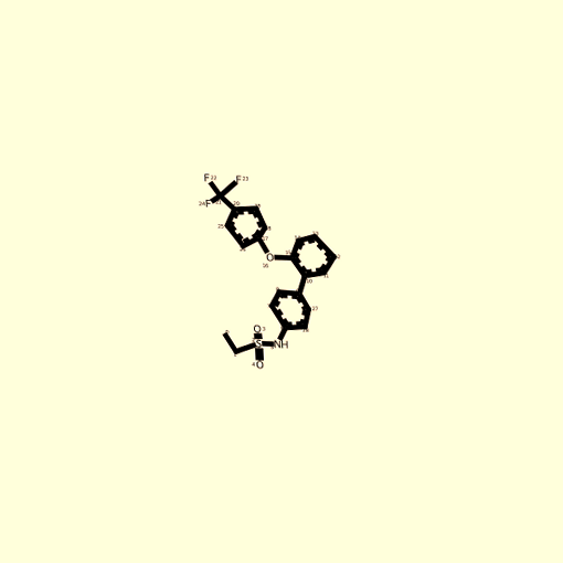 CCS(=O)(=O)Nc1ccc(-c2ccccc2Oc2ccc(C(F)(F)F)cc2)cc1